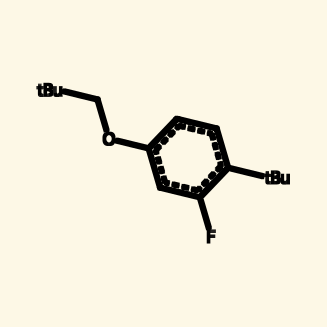 CC(C)(C)COc1ccc(C(C)(C)C)c(F)c1